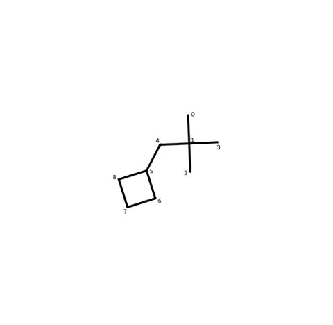 CC(C)(C)CC1CCC1